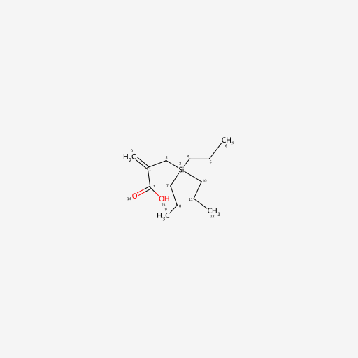 C=C(C[Si](CCC)(CCC)CCC)C(=O)O